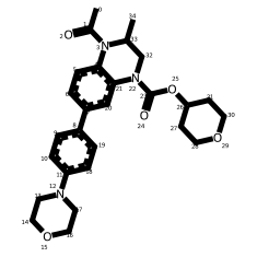 CC(=O)N1c2ccc(-c3ccc(N4CCOCC4)cc3)cc2N(C(=O)OC2CCOCC2)CC1C